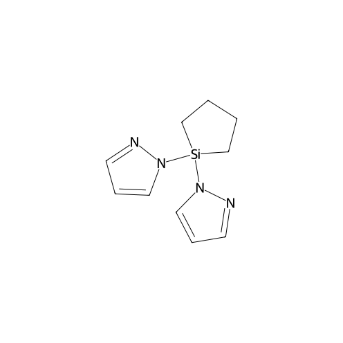 c1cnn([Si]2(n3cccn3)CCCC2)c1